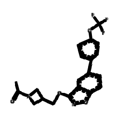 CC(=O)N1CC(COc2noc3ccc(-c4ccc(OC(F)(F)F)cc4)cc23)C1